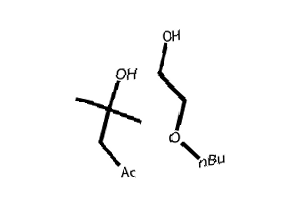 CC(=O)CC(C)(C)O.CCCCOCCO